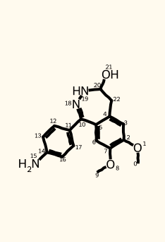 COc1cc2c(cc1OC)C(c1ccc(N)cc1)=NNC(O)C2